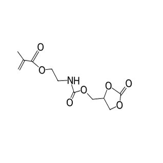 C=C(C)C(=O)OCCNC(=O)OCC1COC(=O)O1